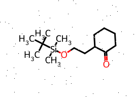 CC(C)(C)[Si](C)(C)OCCC1CCCCC1=O